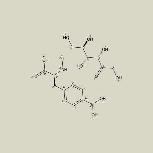 O=C(CO)[C@@H](O)[C@H](O)[C@H](O)CO.[2H]N[C@@H](Cc1ccc(B(O)O)cc1)C(=O)O